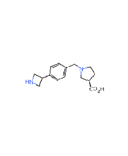 O=C(O)[C@@H]1CCN(Cc2ccc(C3CNC3)cc2)C1